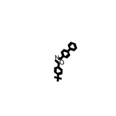 CC(C)(C)c1ccc(-c2cnc(-c3ccc(-c4ccccc4)cc3)o2)cc1